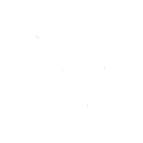 CC12OC(CCO)(CC1O)C1C(=O)N(c3ccc(C#N)c4ccccc34)C(=O)C12